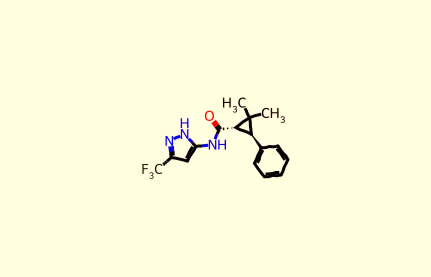 CC1(C)[C@@H](C(=O)Nc2cc(C(F)(F)F)n[nH]2)[C@@H]1c1ccccc1